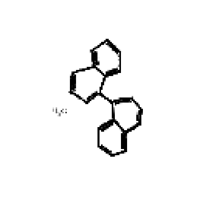 O.c1ccc2c(-c3cccc4ccccc34)cccc2c1